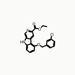 CCOC(=O)c1cc2c(cn1)[nH]c1cccc(OCc3cccc(Cl)c3)c12